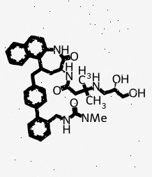 CNC(=O)NCc1ccccc1-c1ccc(CC2C[C@@H](NC(=O)CC(C)(C)NC[C@H](O)CO)C(=O)Nc3ccc4ccccc4c32)cc1